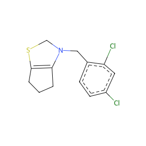 Clc1ccc(CN2CSC3=C2CCC3)c(Cl)c1